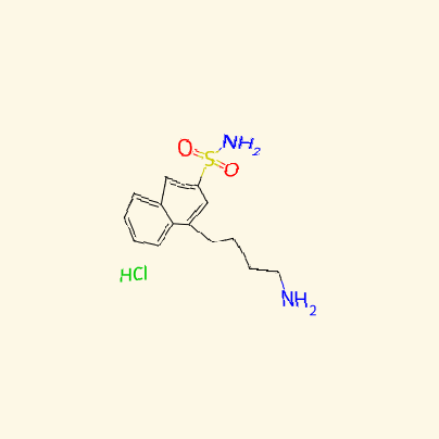 Cl.NCCCCc1cc(S(N)(=O)=O)cc2ccccc12